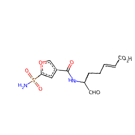 NS(=O)(=O)c1cc(C(=O)NC(C=O)CCC=CC(=O)O)co1